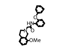 COc1cccc2c1CN(CC(=O)Nc1ccccc1Oc1ccccc1)CC2